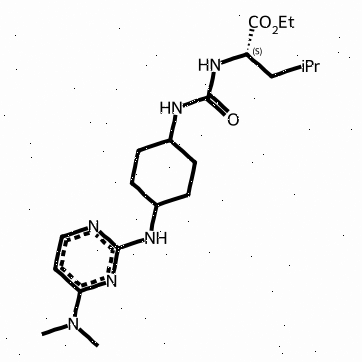 CCOC(=O)[C@H](CC(C)C)NC(=O)NC1CCC(Nc2nccc(N(C)C)n2)CC1